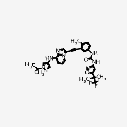 Cc1ccc(NC(=O)Nc2cc(C(C)(C)C(F)(F)F)on2)cc1C#Cc1cnc2c(Nc3cnn(C(C)C)c3)cccn12